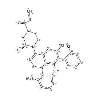 C=CC(=O)N1CCN(C2=NCN(c3c(SC)ccnc3C(C)C)c3nc(-c4ccccc4Cl)c(Cl)cc32)[C@@H](C)C1